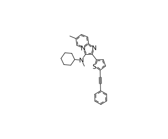 Cc1ccc2nc(-c3ccc(C#Cc4ccccc4)s3)c(N(C)C3CCCCC3)n2c1